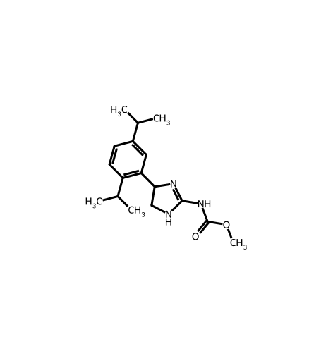 COC(=O)NC1=NC(c2cc(C(C)C)ccc2C(C)C)CN1